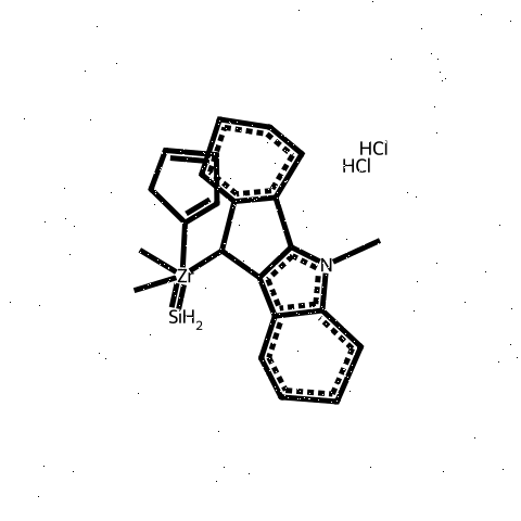 Cl.Cl.Cn1c2c(c3ccccc31)[CH]([Zr]([CH3])([CH3])(=[SiH2])[C]1=CC=CC1)c1ccccc1-2